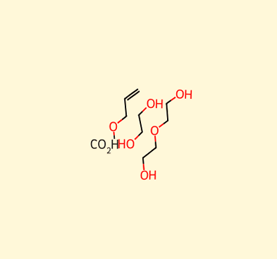 C=CCOC(=O)O.OCCO.OCCOCCO